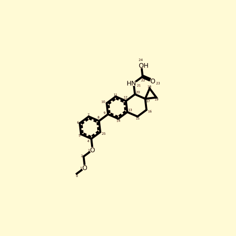 COCOc1cccc(-c2ccc3c(c2)CCC2(CC2)C3NC(=O)O)c1